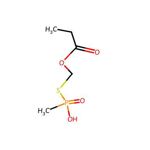 CCC(=O)OCSP(C)(=O)O